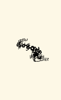 COC(=O)N[C@H](C(=O)N1CCC[C@H]1c1nc2ccc(-c3csc4c(-c5ccc(-c6cnc([C@@H]7CCCN7C(=O)OC(C)(C)C)[nH]6)cc5)csc34)cc2[nH]1)C(C)C